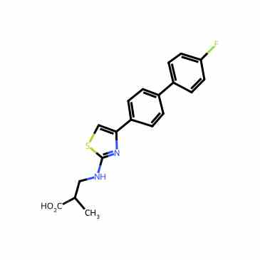 CC(CNc1nc(-c2ccc(-c3ccc(F)cc3)cc2)cs1)C(=O)O